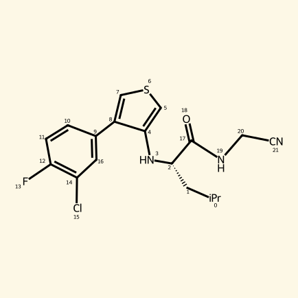 CC(C)C[C@H](Nc1cscc1-c1ccc(F)c(Cl)c1)C(=O)NCC#N